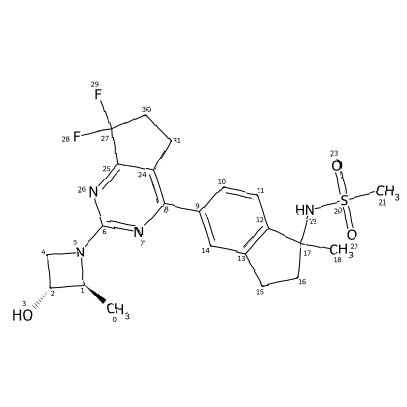 C[C@H]1[C@H](O)CN1c1nc(-c2ccc3c(c2)CCC3(C)NS(C)(=O)=O)c2c(n1)C(F)(F)CC2